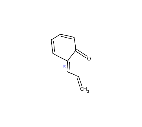 C=C/C=C1/C=CC=CC1=O